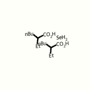 CCCCC(CC)C(=O)O.CCCCC(CC)C(=O)O.[SeH2]